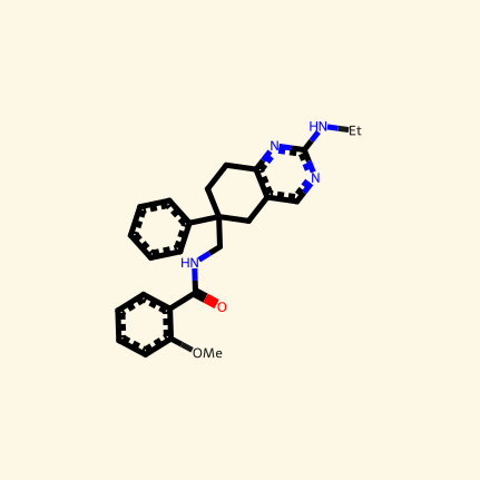 CCNc1ncc2c(n1)CCC(CNC(=O)c1ccccc1OC)(c1ccccc1)C2